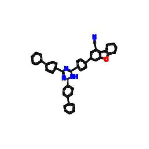 N#Cc1cc(-c2ccc(C3=NC(c4ccc(-c5ccccc5)cc4)=NC(c4ccc(-c5ccccc5)cc4)N3)cc2)cc2oc3ccccc3c12